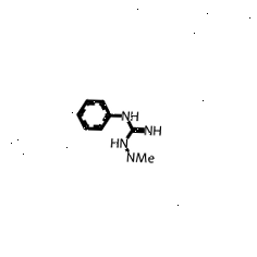 CNNC(=N)Nc1ccccc1